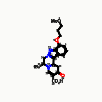 COCCCOc1cccc2c3n(nc12)CC(C(C)(C)C)N1C=C(C(=O)O)C(=O)CC31